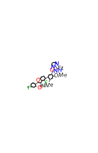 CCC(NC(=O)c1cc(-c2ccc3oc(-c4ccc(F)cc4)c(C(=O)NC)c3c2F)c(C)cc1OC)c1ncccn1